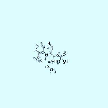 COC(=O)C(C)N(C(=O)CSP(=O)(O)O)c1c(C)cccc1C